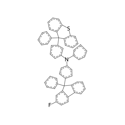 Fc1ccc2c(c1)C(c1ccccc1)(c1ccc(N(c3ccccc3)c3cccc(C4(c5ccccc5)c5ccccc5Sc5ccccc54)c3)cc1)c1ccccc1-2